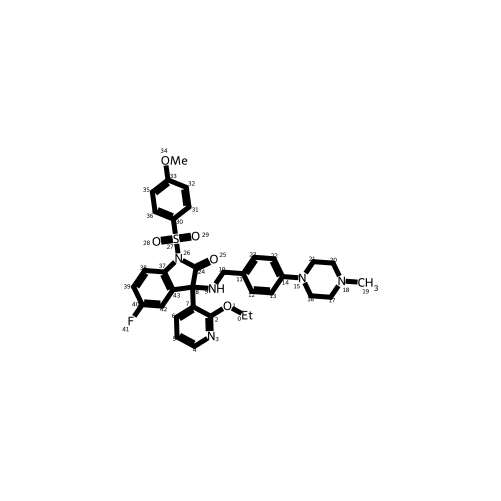 CCOc1ncccc1C1(NCc2ccc(N3CCN(C)CC3)cc2)C(=O)N(S(=O)(=O)c2ccc(OC)cc2)c2ccc(F)cc21